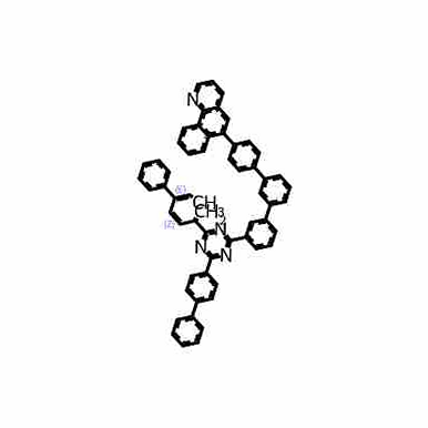 C=C(/C=C\C(=C/C)c1ccccc1)c1nc(-c2ccc(-c3ccccc3)cc2)nc(-c2cccc(-c3cccc(-c4ccc(-c5cc6cccnc6c6ccccc56)cc4)c3)c2)n1